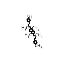 C/C(=C\c1ccc2c(C)c(/C=C(\C)CCc3ccc(S)cc3)ccc2c1C)CCc1ccc(C)cc1